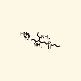 CCCCPCCCC(C(N)CC)C(N)CC.c1c[nH]cn1